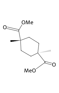 COC(=O)[C@]1(C)CC[C@@](C)(C(=O)OC)CC1